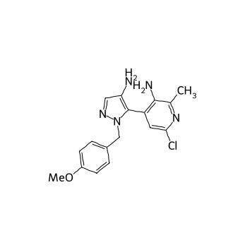 COc1ccc(Cn2ncc(N)c2-c2cc(Cl)nc(C)c2N)cc1